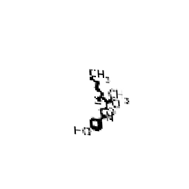 CCCCCC(=O)C(C(C)=O)C1CC(c2ccc(O)cc2)=NO1